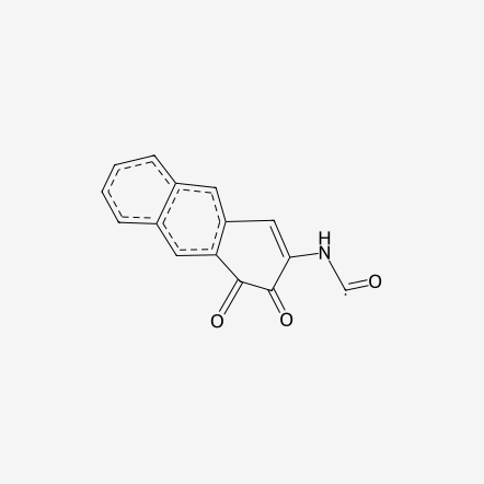 O=[C]NC1=Cc2cc3ccccc3cc2C(=O)C1=O